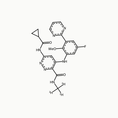 [2H]C([2H])([2H])NC(=O)c1nnc(NC(=O)C2CC2)cc1Nc1cc(F)cc(-c2ncccn2)c1OC